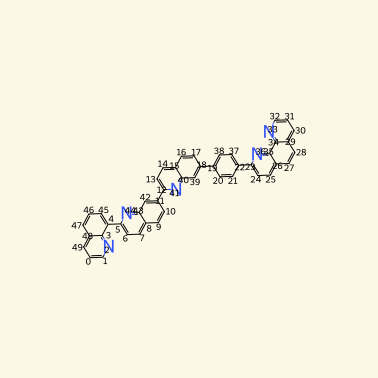 c1cnc2c(-c3ccc4ccc(-c5ccc6ccc(-c7ccc(-c8ccc9ccc%10cccnc%10c9n8)cc7)cc6n5)cc4n3)cccc2c1